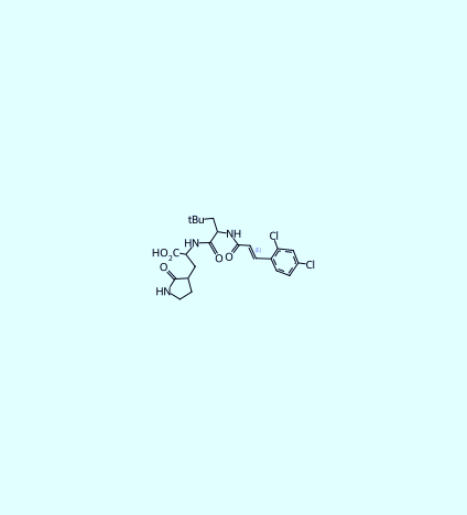 CC(C)(C)CC(NC(=O)/C=C/c1ccc(Cl)cc1Cl)C(=O)NC(CC1CCNC1=O)C(=O)O